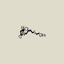 O=C1C[C@H]2O/C(=C/CSCCO)CN12